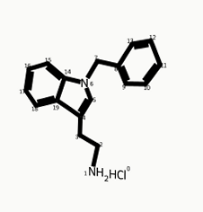 Cl.NCCc1cn(Cc2ccccc2)c2ccccc12